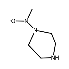 CN([O])N1CCNCC1